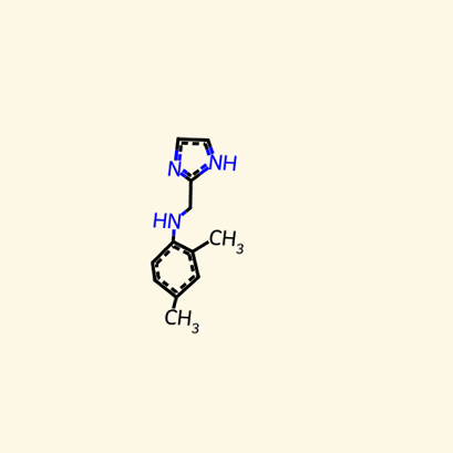 Cc1ccc(NCc2ncc[nH]2)c(C)c1